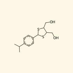 CC(C)c1ccc(C2SC(CO)C(CO)S2)cc1